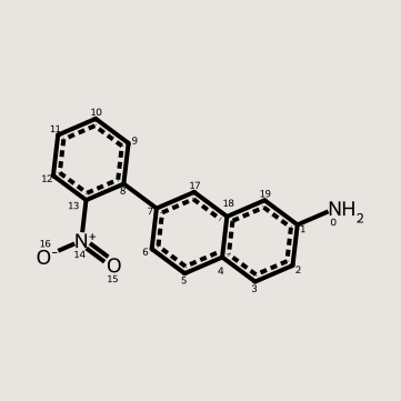 Nc1ccc2ccc(-c3ccccc3[N+](=O)[O-])cc2c1